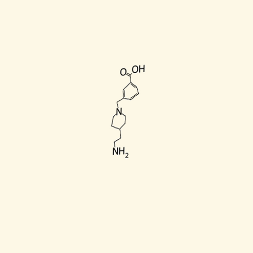 NCCC1CCN(Cc2cccc(C(=O)O)c2)CC1